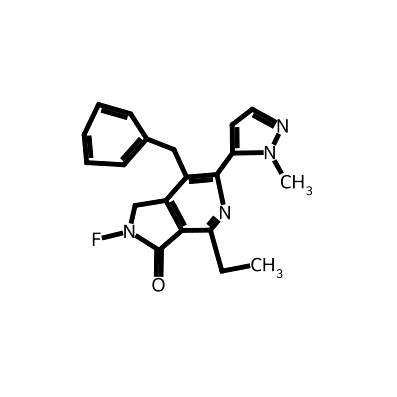 CCc1nc(-c2ccnn2C)c(Cc2ccccc2)c2c1C(=O)N(F)C2